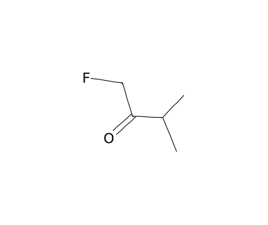 CC(C)C(=O)CF